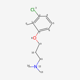 Cc1c(Cl)cccc1OCCCN(C)C